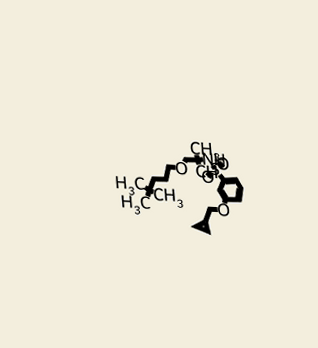 CC(C)(C)CCCOCC(C)(C)NS(=O)(=O)c1cccc(OCC2CC2)c1